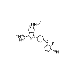 CCNc1cc2c(cn1)c(-c1cnn(C)c1)nn2C1CCC(Oc2cccc(C#N)c2F)CC1